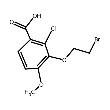 COc1ccc(C(=O)O)c(Cl)c1OCCBr